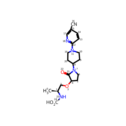 C[C@@H](COC1CCN(C2CCN(c3ccc(C#N)cn3)CC2)C1=O)NC(=O)O